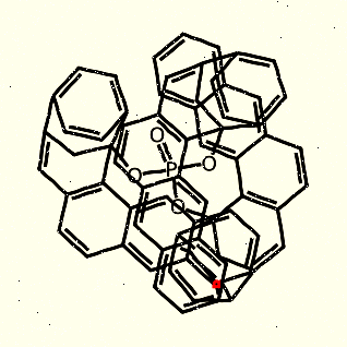 O=P(OC12CC(=Cc3ccc4cc5ccccc5cc4c31)c1ccc2cc1)(OC12CC(=Cc3ccc4cc5ccccc5cc4c31)c1ccc2cc1)OC12CC(=Cc3ccc4cc5ccccc5cc4c31)c1ccc2cc1